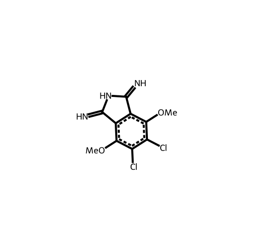 COc1c(Cl)c(Cl)c(OC)c2c1C(=N)NC2=N